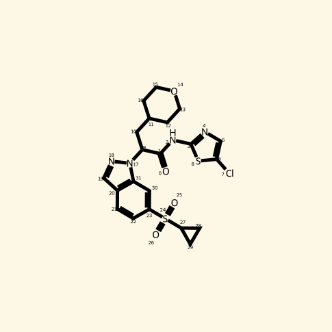 O=C(Nc1ncc(Cl)s1)C(CC1CCOCC1)n1ncc2ccc(S(=O)(=O)C3CC3)cc21